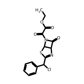 CCOC(=O)C(=O)N1C(=O)C2N=C(C(Cl)c3ccccc3)SC21